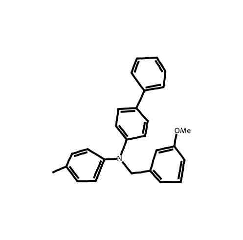 COc1cccc(CN(c2ccc(C)cc2)c2ccc(-c3ccccc3)cc2)c1